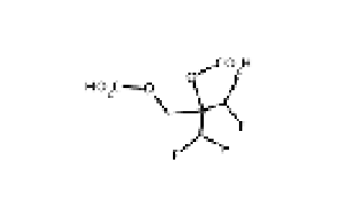 O=C(O)OCC(OC(=O)O)(C(F)F)C(F)F